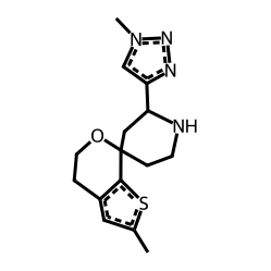 Cc1cc2c(s1)C1(CCNC(c3cn(C)nn3)C1)OCC2